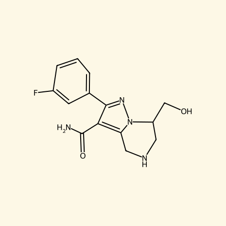 NC(=O)c1c(-c2cccc(F)c2)nn2c1CNCC2CO